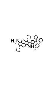 Nc1cc(C2CCCCC2)c2ccc3c(N)c(-c4ccc(C5(c6ccccc6)c6ccccc6-c6ccccc65)cc4)c(C4CCCCC4)c4ccc1c2c34